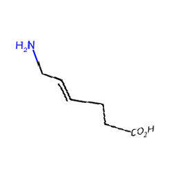 NCC=CCCC(=O)O